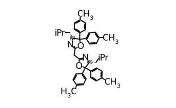 Cc1ccc(C2(c3ccc(C)cc3)OC(CC3=N[C@H](CC(C)C)C(c4ccc(C)cc4)(c4ccc(C)cc4)O3)=N[C@@H]2CC(C)C)cc1